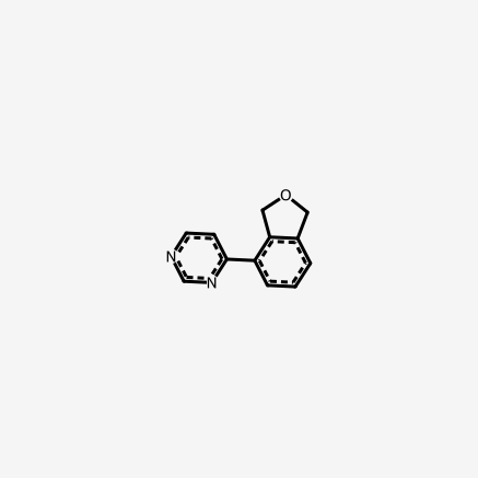 c1cc2c(c(-c3ccncn3)c1)COC2